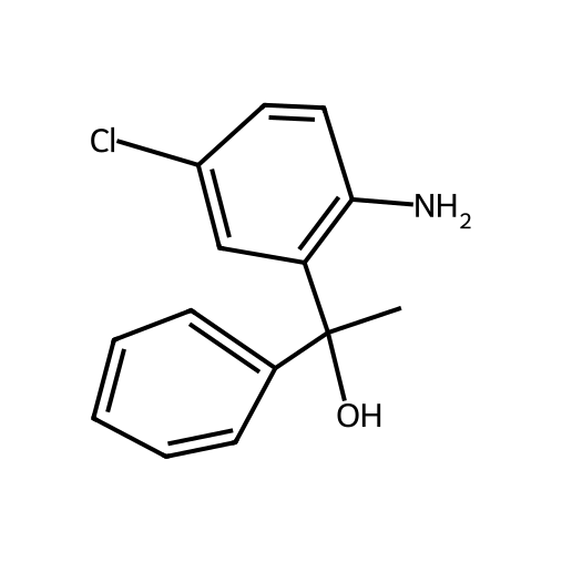 CC(O)(c1ccccc1)c1cc(Cl)ccc1N